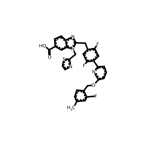 Cc1ccc(COc2cccc(-c3cc(F)c(Cc4nc5ccc(C(=O)O)cc5n4Cc4nccs4)cc3F)n2)c(F)c1